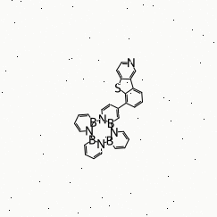 C1=CB2N(C=C1)B1C=CC=CN1B1C=C(c3cccc4c3sc3ccncc34)C=CN1B1C=CC=CN21